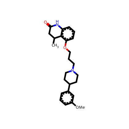 COc1cccc(C2CCN(CCCOc3cccc4c3C(C)CC(=O)N4)CC2)c1